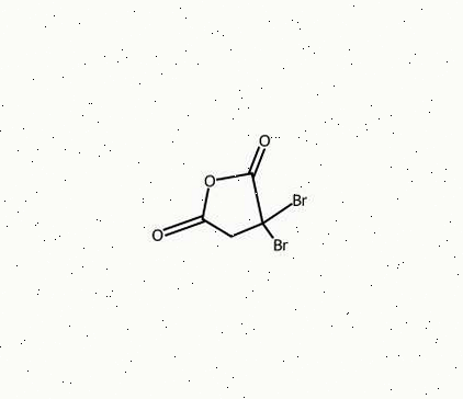 O=C1CC(Br)(Br)C(=O)O1